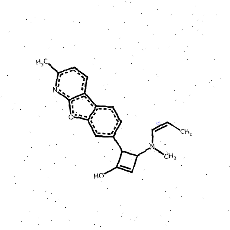 C/C=C\N(C)C1C=C(O)C1c1ccc2c(c1)oc1nc(C)ccc12